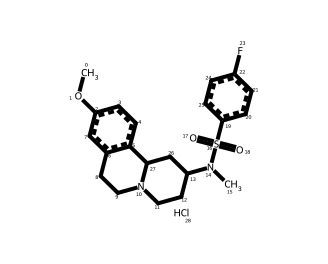 COc1ccc2c(c1)CCN1CCC(N(C)S(=O)(=O)c3ccc(F)cc3)CC21.Cl